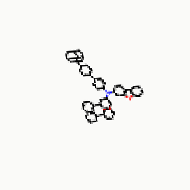 c1ccc(-c2cccc3cccc(-c4cccc(N(c5ccc(-c6ccc(C78CC9CC(CC(C9)C7)C8)cc6)cc5)c5ccc6c(c5)oc5ccccc56)c4)c23)cc1